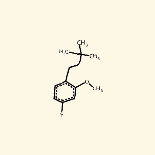 COc1cc(F)ccc1CCC(C)(C)C